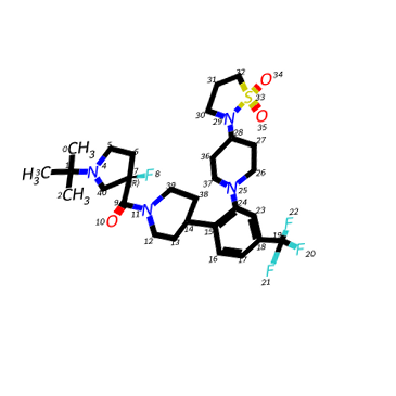 CC(C)(C)N1CC[C@](F)(C(=O)N2CCC(c3ccc(C(F)(F)F)cc3N3CCC(N4CCCS4(=O)=O)CC3)CC2)C1